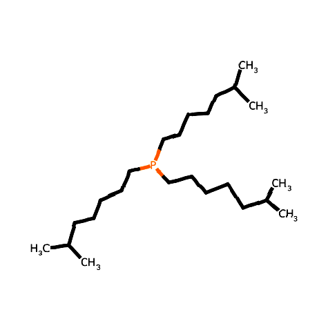 CC(C)CCCCCP(CCCCCC(C)C)CCCCCC(C)C